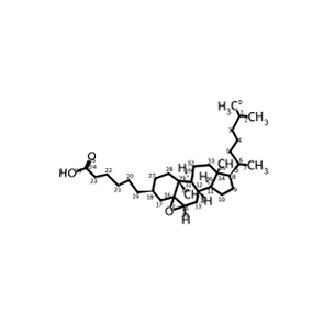 CC(C)CCCC(C)[C@H]1CC[C@H]2[C@@H]3C[C@@H]4OC45C[C@@H](CCCCCC(=O)O)CC[C@]5(C)[C@H]3CC[C@]12C